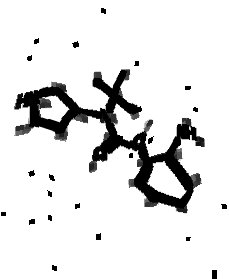 CC(C)(C)N(C(=O)Oc1ccccc1N)[C@H]1CCNC1